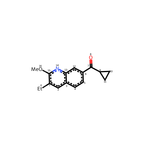 CCc1cc2ccc(C(=O)C3CC3)cc2nc1OC